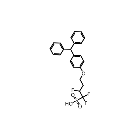 O=S(=O)(O)C(F)(F)C(F)CCOc1ccc(C(c2ccccc2)c2ccccc2)cc1